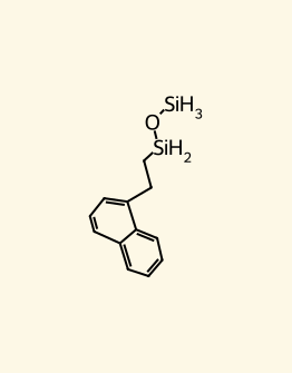 [SiH3]O[SiH2]CCc1cccc2ccccc12